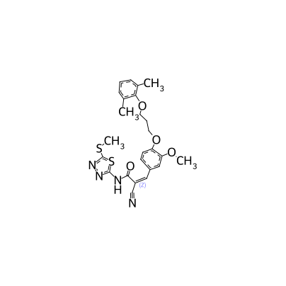 COc1cc(/C=C(/C#N)C(=O)Nc2nnc(SC)s2)ccc1OCCCOc1c(C)cccc1C